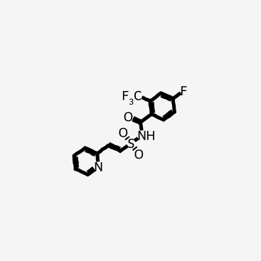 O=C(NS(=O)(=O)C=Cc1ccccn1)c1ccc(F)cc1C(F)(F)F